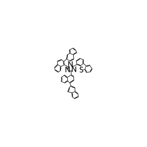 c1ccc2cc(-c3ccc4ccccc4c3-c3nc(-c4ccc(-c5ccc6ccccc6c5)c5ccccc45)nc(-c4cccc5c4sc4ccccc45)n3)ccc2c1